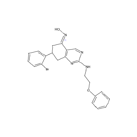 O/N=C1\CC(c2ccccc2Br)Cc2nc(NCCOc3ccccc3)ncc21